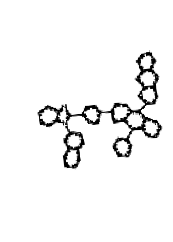 c1ccc(-c2c3ccccc3c(-c3ccc4cc5ccccc5cc4c3)c3ccc(-c4ccc(-c5nc6ccccc6n5-c5ccc6ccccc6c5)cc4)cc23)cc1